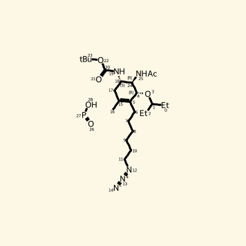 CCC(CC)O[C@@H]1C(CCCCCCN=[N+]=[N-])=C(C)C[C@H](NC(=O)OC(C)(C)C)[C@H]1NC(C)=O.O=PO